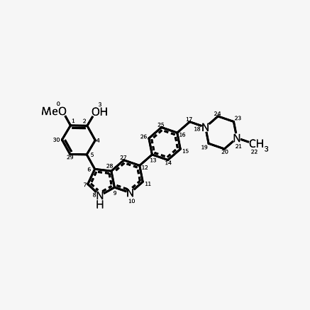 COC1=C(O)CC(c2c[nH]c3ncc(-c4ccc(CN5CCN(C)CC5)cc4)cc23)C=C1